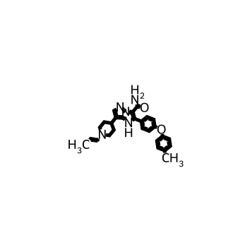 CC=CN1CCC(c2cnn3c(C(N)=O)c(-c4ccc(Oc5ccc(C)cc5)cc4)[nH]c23)CC1